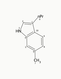 CCCc1c[nH]c2cc(C)ccc12